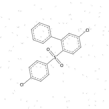 O=S(=O)(c1ccc(Cl)cc1)c1ccc(Cl)cc1-c1ccccc1